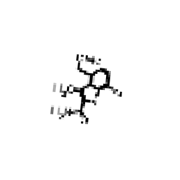 COCc1ccc(C(C)=O)c2sc(C(N)=O)c(C)c12